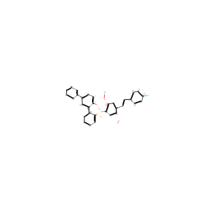 COc1cc(P2(=O)Oc3ccc(-c4ccccc4)cc3-c3ccccc32)c(OC)cc1/C=C/c1ccc(F)cc1